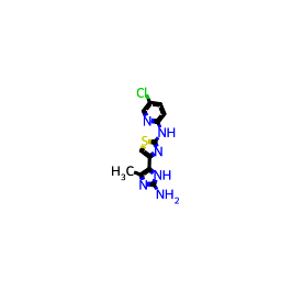 Cc1nc(N)[nH]c1-c1csc(Nc2ccc(Cl)cn2)n1